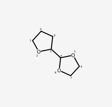 C1COC([C]2OCCO2)C1